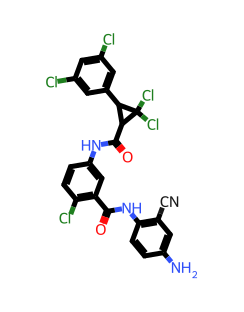 N#Cc1cc(N)ccc1NC(=O)c1cc(NC(=O)C2C(c3cc(Cl)cc(Cl)c3)C2(Cl)Cl)ccc1Cl